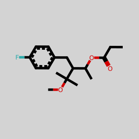 CCC(=O)OC(C)C(Cc1ccc(F)cc1)C(C)(C)OC